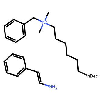 CCCCCCCCCCCCCCCC[N+](C)(C)Cc1ccccc1.NC=Cc1ccccc1